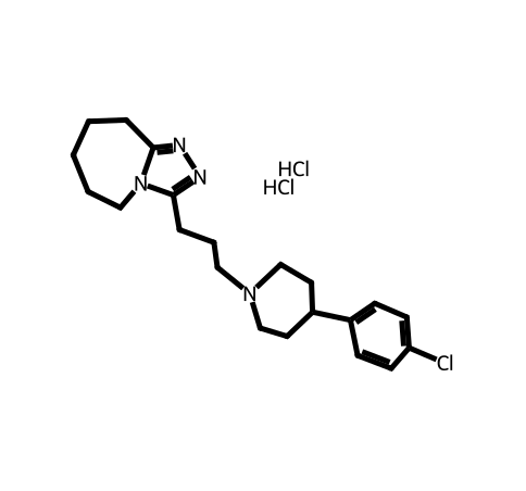 Cl.Cl.Clc1ccc(C2CCN(CCCc3nnc4n3CCCCC4)CC2)cc1